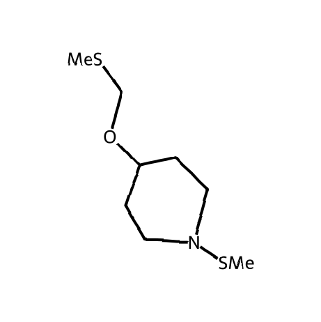 CSCOC1CCN(SC)CC1